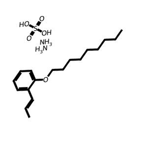 CC=Cc1ccccc1OCCCCCCCCC.N.N.O=S(=O)(O)O